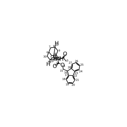 CC(=O)NC12CC3C[C@H](C1)C(NC(=O)OCC1c4ccccc4-c4ccccc41)[C@@H](C3)C2